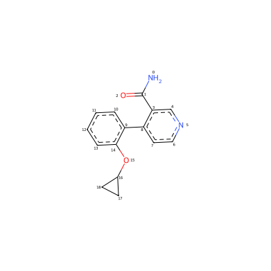 NC(=O)c1cnccc1-c1ccccc1OC1CC1